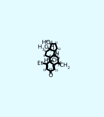 C=C1C[C@@H]2[C@H](CC[C@]3(C)[C@@H](O)CC[C@@H]23)[C@@]2(C)C(CC)=CC(=O)C=C12